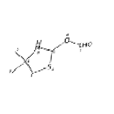 CC1(C)CSC(OC=O)N1